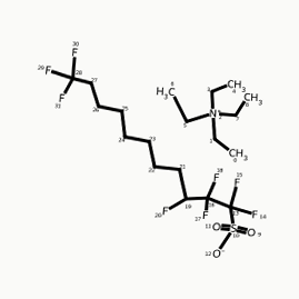 CC[N+](CC)(CC)CC.O=S(=O)([O-])C(F)(F)C(F)(F)C(F)CCCCCCCC(F)(F)F